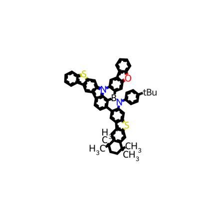 CC(C)(C)c1ccc(N2B3c4cc5oc6ccccc6c5cc4-n4c5cc6sc7ccccc7c6cc5c5ccc(c3c54)-c3cc4c(cc32)sc2cc3c(cc24)C(C)(C)CCC3(C)C)cc1